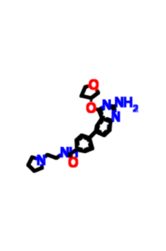 Nc1nc(O[C@@H]2CCOC2)c2cc(-c3ccc(C(=O)NCCN4CCCC4)cc3)ccc2n1